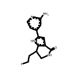 Nc1cc(-c2cc3c([nH]2)C(CCF)CNC3=O)ccn1